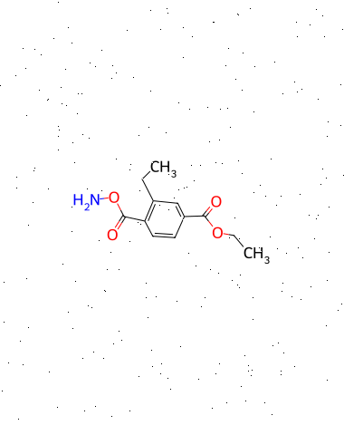 CCOC(=O)c1ccc(C(=O)ON)c(CC)c1